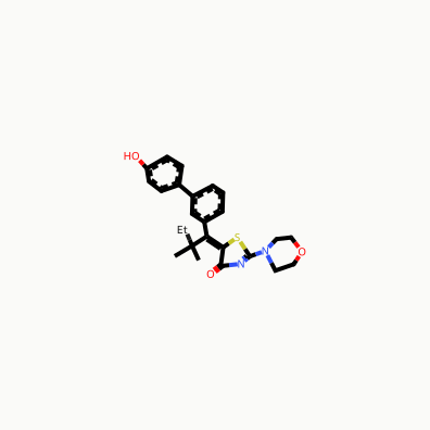 CCC(C)(C)C(=C1SC(N2CCOCC2)=NC1=O)c1cccc(-c2ccc(O)cc2)c1